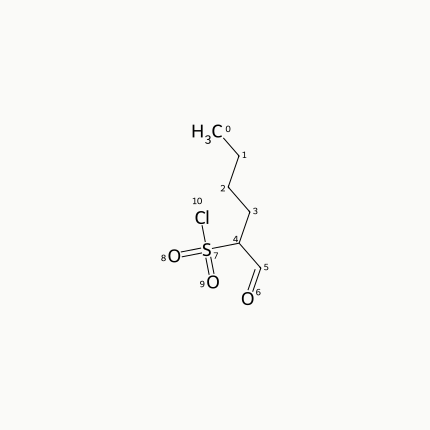 CCCCC(C=O)S(=O)(=O)Cl